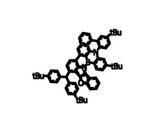 Cc1cc2c3c(c1)N(c1ccc(C(C)(C)C)cc1-c1ccccc1)c1cc(C(C)(C)C)ccc1B3n1c3c-2ccc(C(c2ccc(C(C)(C)C)cc2)c2ccc(C(C)(C)C)cc2)c3c2oc3ccccc3c21